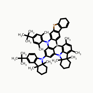 Cc1cc(C)c2c3c1B1c4cc5c6c(sc5cc4N(c4c(C)cc(C(C)(C)C)cc4C)c4cc(N5c7ccc(C(C)(C)C)cc7C7(C)CCCCC57C)cc(c41)N3C1(C)CCCCC21C)CCC=C6